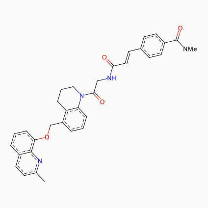 CNC(=O)c1ccc(/C=C/C(=O)NCC(=O)N2CCCc3c(COc4cccc5ccc(C)nc45)cccc32)cc1